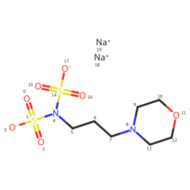 O=S(=O)([O-])N(CCCN1CCOCC1)S(=O)(=O)[O-].[Na+].[Na+]